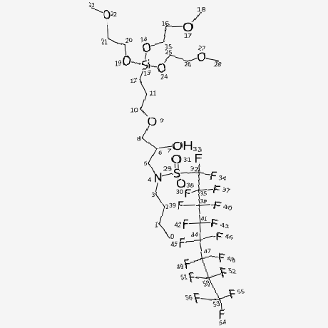 CCCCN(CC(O)COCCC[Si](OCCOC)(OCCOC)OCCOC)S(=O)(=O)C(F)(F)C(F)(F)C(F)(F)C(F)(F)C(F)(F)C(F)(F)C(F)(F)C(F)(F)F